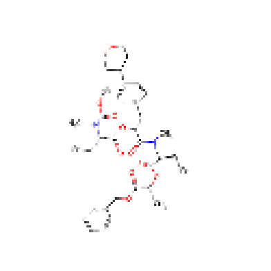 CC(C)C[C@@H](C(=O)O[C@H](Cc1ccc(C2CCOCC2)cc1)C(=O)N(C)[C@@H](CC(C)C)C(=O)O[C@H](C)C(=O)OCc1ccccc1)N(C)C(=O)OC(C)(C)C